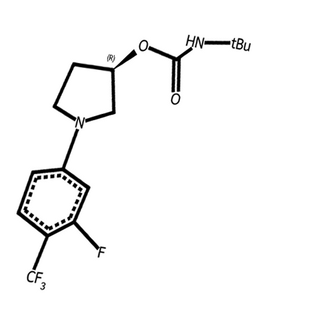 CC(C)(C)NC(=O)O[C@@H]1CCN(c2ccc(C(F)(F)F)c(F)c2)C1